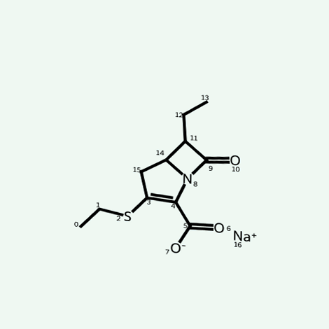 CCSC1=C(C(=O)[O-])N2C(=O)C(CC)C2C1.[Na+]